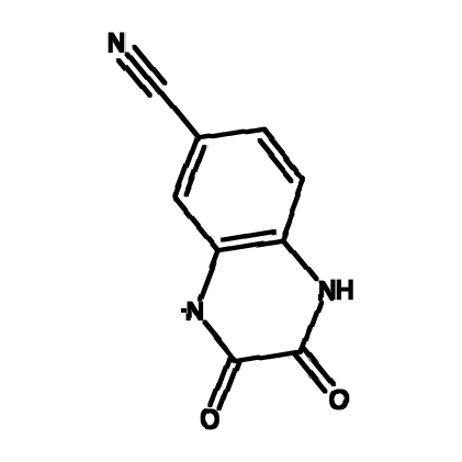 N#Cc1ccc2c(c1)[N]C(=O)C(=O)N2